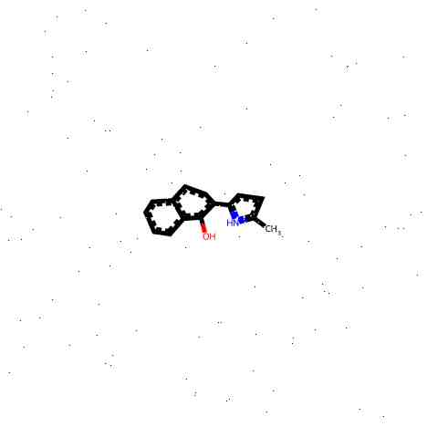 Cc1ccc(-c2ccc3ccccc3c2O)[nH]1